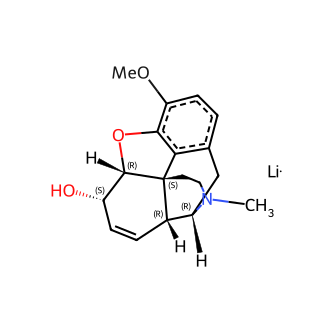 COc1ccc2c3c1O[C@H]1[C@@H](O)C=C[C@H]4[C@@H](C2)N(C)CC[C@@]341.[Li]